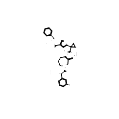 CN(Cc1ccccc1)C(=O)c1csc(C2(c3nc4c(c(=O)[nH]3)CN(C(=O)[C@H](O)c3cccc(C(F)(F)F)c3)CCC4)CC2)c1